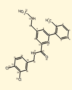 Cc1ccncc1-c1cc(CNC(=O)O)cc(C(=O)NCc2ccc(Cl)c(Cl)c2)n1